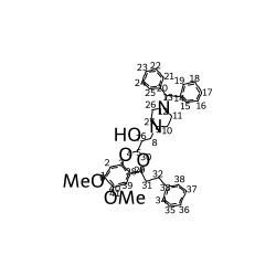 COc1cc(OCC(O)CN2CCN(C(c3ccccc3)c3ccccc3)CC2)c(C(=O)CCc2ccccc2)cc1OC